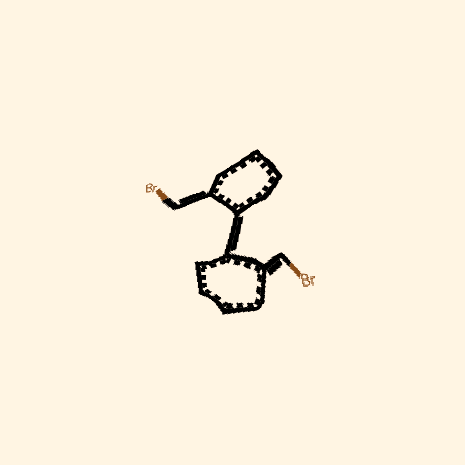 BrC=c1ccccc1=c1ccccc1=CBr